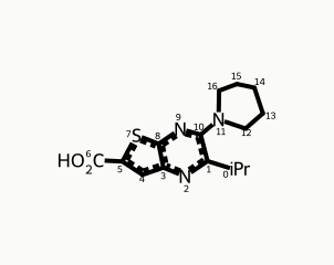 CC(C)c1nc2cc(C(=O)O)sc2nc1N1CCCCC1